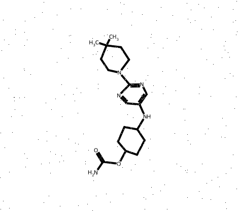 CC1(C)CCN(c2ncc(NC3CCC(OC(N)=O)CC3)cn2)CC1